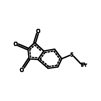 CC(C)Sc1ccc2c(=O)c(=O)c(=O)c2c1